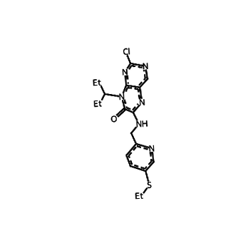 CCSc1ccc(CNc2nc3cnc(Cl)nc3n(C(CC)CC)c2=O)nc1